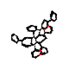 c1ccc(-c2ccc(N3c4ccccc4B4c5cc(-c6ccccc6)ccc5N(c5ccccc5)c5c(-c6ccccc6)cc(-c6ccccc6)c3c54)cc2)cc1